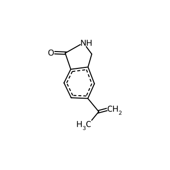 C=C(C)c1ccc2c(c1)CNC2=O